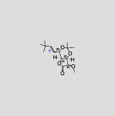 CO[C@H]1C(=O)O[C@@H]2[C@H]1OC(C)(C)O[C@@H]2/C=C/C(C)(C)C